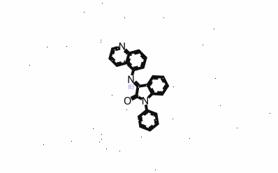 O=C1/C(=N/c2cccc3ncccc23)c2ccccc2N1c1ccccc1